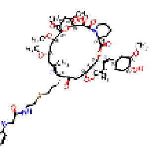 CO[C@H]1C/C(C)=C/[C@@H](CCCSCCNC(=O)CNc2ccccc2)C(=O)C[C@H](O)[C@@H](C)[C@@H](/C(C)=C/[C@@H]2CC[C@@H](O)[C@H](OC)C2)OC(=O)[C@@H]2CCCCN2C(=O)C(=O)[C@]2(O)O[C@H]([C@@H](OC)C1)[C@@H](OC)C[C@H]2C